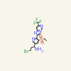 CCS(=O)(=O)c1cc(C(N)CCBr)cnc1-c1cn2cnc(C(F)(F)F)cc2n1